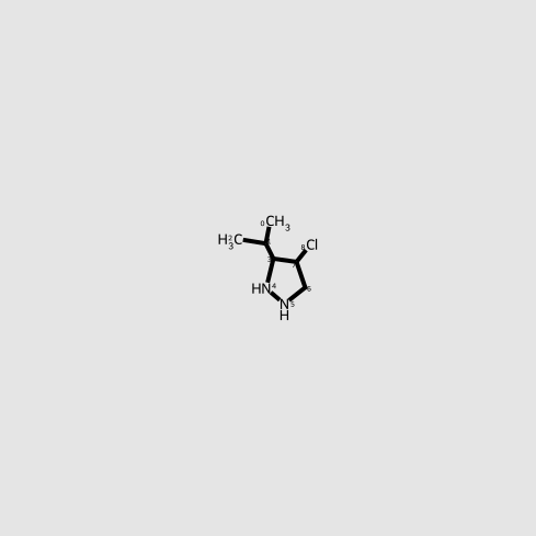 CC(C)C1NNCC1Cl